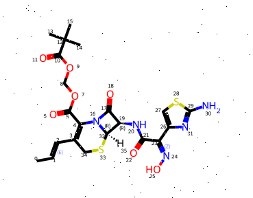 C/C=C/C1=C(C(=O)OCOC(=O)C(C)(C)C)N2C(=O)[C@@H](NC(=O)/C(=N\O)c3csc(N)n3)[C@H]2SC1